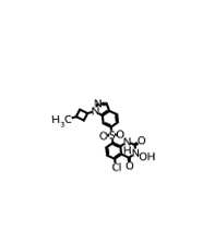 CC1CC(n2ncc3ccc(S(=O)(=O)c4ccc(Cl)c5c(=O)n(O)c(=O)[nH]c45)cc32)C1